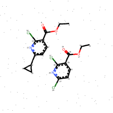 CCOC(=O)c1ccc(C2CC2)nc1Cl.CCOC(=O)c1ccc(Cl)nc1Cl